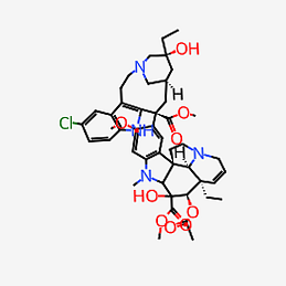 CC[C@]1(O)C[C@@H]2CN(CCc3c([nH]c4ccc(Cl)cc34)[C@@](C(=O)OC)(c3cc4c(cc3OC)N(C)C3C(O)(C(=O)OC)[C@H](OC(C)=O)[C@]5(CC)C=CCN6CC[C@]43[C@@H]65)C2)C1